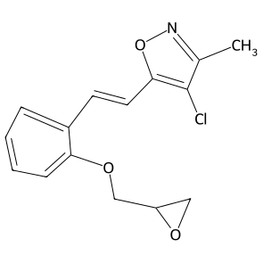 Cc1noc(C=Cc2ccccc2OCC2CO2)c1Cl